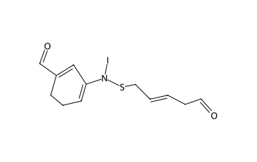 O=CC/C=C/CSN(I)C1=CCCC(C=O)=C1